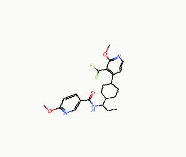 CCC(NC(=O)c1ccc(OC)nc1)C1CCC(c2ccnc(OC)c2C(F)F)CC1